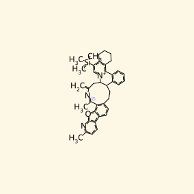 C=C1CC2C(CCc3ccc4c(oc5nc(C)ccc54)c3/C(C)=N\1)c1ccccc1-c1c3c(c([Si](C)(C)C)c[n+]12)CCCC3